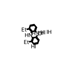 CCc1cccc2c1Nc1c(CC)cccc1S2.I.I.I.I.O